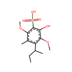 CCC(C)c1c(C)c(OC)c(S(=O)(=O)O)c(O)c1OC